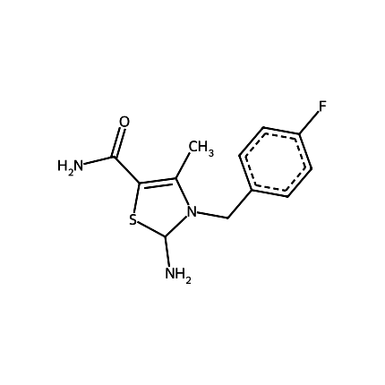 CC1=C(C(N)=O)SC(N)N1Cc1ccc(F)cc1